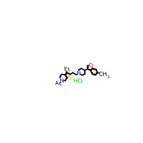 CCc1c(CCN2CCC(c3coc4cc(C)ccc34)CC2)sc2c1CCN(C(C)=O)C2.Cl